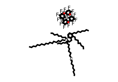 CCCCCCCCCCCCCCCCCC[N+](CCCCCCCC)(CCCCCCCCCCCCCCCCCC)c1ccc(CCCCCCCC)c(CCCCCCCC)c1CCCCCCCC.Fc1c(F)c(F)c([B-](c2c(F)c(F)c(F)c(F)c2F)(c2c(F)c(F)c(F)c(F)c2F)c2c(F)c(F)c(F)c(F)c2F)c(F)c1F